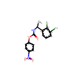 CC(NC(=O)Oc1ccc([N+](=O)[O-])cc1)c1cccc(F)c1Cl